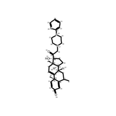 CC1C[C@@H]2C(=CC[C@@]3(C)[C@H]2CC[C@]3(O)C(=O)CN2CCN(c3ccccn3)CC2)[C@@]2(C)C=CC(=O)C=C12